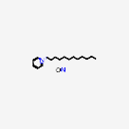 CCCCCCCCCCCC[n+]1ccccc1.[C-]#N